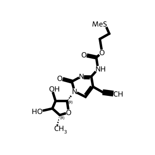 C#Cc1cn([C@@H]2O[C@H](C)C(O)C2O)c(=O)nc1NC(=O)OCCSC